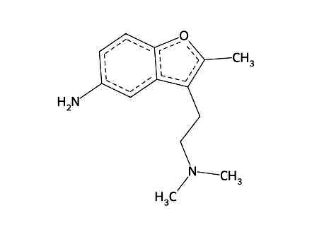 Cc1oc2ccc(N)cc2c1CCN(C)C